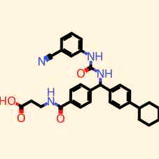 N#Cc1cccc(NC(=O)NC(c2ccc(C(=O)NCCC(=O)O)cc2)c2ccc(C3CCCCC3)cc2)c1